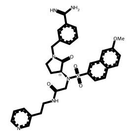 COc1ccc2ccc(S(=O)(=O)N(CC(=O)NCCc3cccnc3)[C@H]3CCN(Cc4cccc(C(=N)N)c4)C3=O)cc2c1